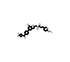 Nc1ccc(/C=C/C(=O)NCC2Cc3cc(-c4ccc(C(=O)C5CC(F)(F)C5)cc4)cc(Cl)c3O2)cn1